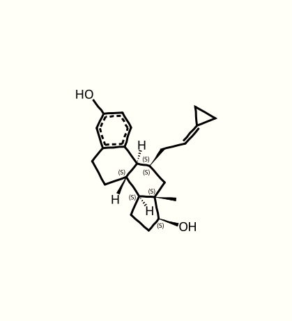 C[C@]12C[C@H](CC=C3CC3)[C@@H]3c4ccc(O)cc4CC[C@H]3[C@@H]1CC[C@@H]2O